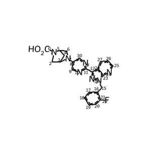 O=C(O)N1CC2CC1CN2c1cnc(-c2nn(Cc3ccccc3F)c3ncccc23)nc1